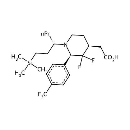 CCC[C@@H](CC[Si](C)(C)C)N1CC[C@@H](CC(=O)O)C(F)(F)[C@H]1c1ccc(C(F)(F)F)cc1